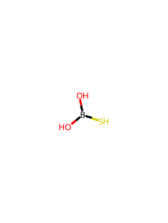 OB(O)S